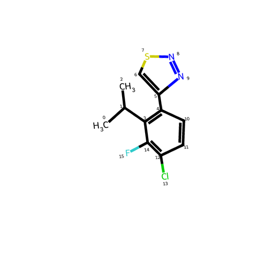 CC(C)c1c(-c2csnn2)ccc(Cl)c1F